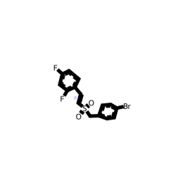 O=S(=O)(/C=C/c1ccc(F)cc1F)Cc1ccc(Br)cc1